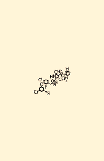 Cc1[nH]c(-c2nnc(Cc3ccc(Cl)c(Oc4cc(Cl)cc(C#N)c4)c3F)o2)c(C)c1C(=O)OC1C[C@H]2CC[C@H]1C2